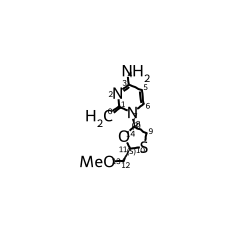 C=C1N=C(N)C=CN1[C@H]1CS[C@@H](COC)O1